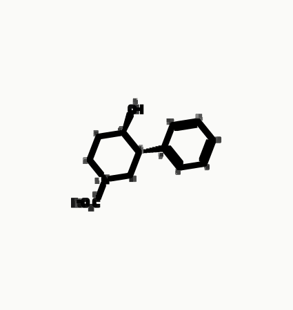 CCOC(=O)N1CC[C@@H](O)[C@H](c2ccccc2)C1